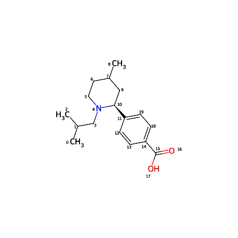 CC(C)CN1CCC(C)C[C@H]1c1ccc(C(=O)O)cc1